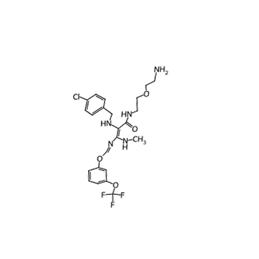 CNC(/N=C/Oc1cccc(OC(F)(F)F)c1)=C(/NCc1ccc(Cl)cc1)C(=O)NCCOCCN